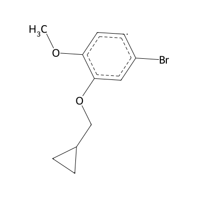 COc1c[c]c(Br)cc1OCC1CC1